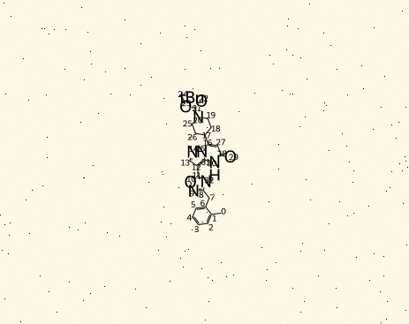 Cc1ccccc1Cc1noc(-c2cnn3c(C4CCN(C(=O)OC(C)(C)C)CC4)cc(=O)[nH]c23)n1